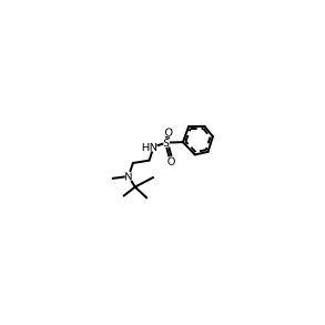 CN(CCNS(=O)(=O)c1ccccc1)C(C)(C)C